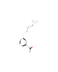 CC(=O)c1cccc(OCCCN)c1